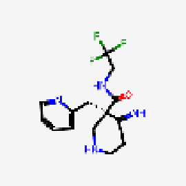 N=C1CCNC[C@@]1(Cc1ccccn1)C(=O)NCC(F)(F)F